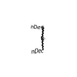 CCCCCCCCCCCCCCCCCC[N]CCCCCCCCCCCCCCCCCC